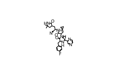 CC1(C)CC(CC(C#N)NC(=O)C(CC2CC2)NC(=O)C(Cc2ccc(F)cc2)NC(=O)c2cnccn2)C(=O)N1